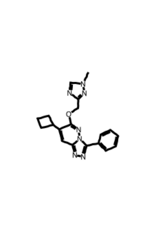 Cn1cnc(COc2nn3c(-c4ccccc4)nnc3cc2C2CCC2)n1